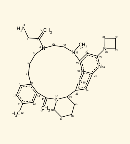 C=C(CN)N1CCCc2ccc(C)cc2C(=C)N2CCCCC2c2cc3nc(N4CCC4)cc(n3n2)N(C)CC1